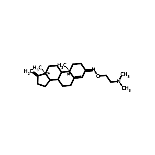 C=C1CCC2C3CCC4=CC(=NOCCN(C)C)CC[C@]4(C)C3CC[C@]12C